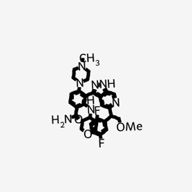 COCC(c1cc2c(-c3c(N4CCN(C)CC4)ccc(C(N)=O)c3NC3CCOCC3)n[nH]c2cn1)c1cc(F)ccc1F